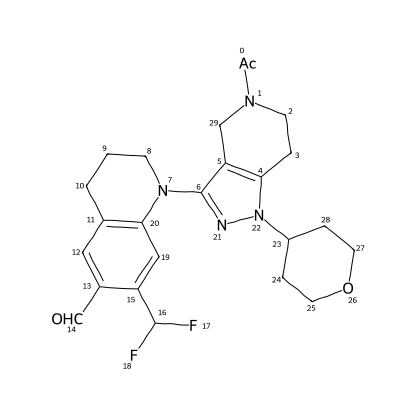 CC(=O)N1CCc2c(c(N3CCCc4cc(C=O)c(C(F)F)cc43)nn2C2CCOCC2)C1